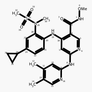 CONC(=O)c1cnc(Nc2cc(C)c(C)cn2)cc1Nc1ccc(C2CC2)cc1N(C)S(C)(=O)=O